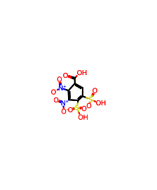 O=C(O)c1cc(S(=O)(=O)O)c(S(=O)(=O)O)c([N+](=O)[O-])c1[N+](=O)[O-]